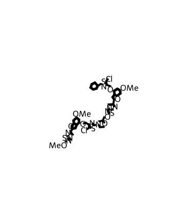 COc1cc(OCc2nc(N3CCOC(COc4nn5cc(-c6cc7c(OCc8nc(-c9ccccc9)sc8Cl)cc(OC)cc7o6)nc5s4)C3)sc2Cl)c2cc(-c3cn4nc(OC)sc4n3)oc2c1